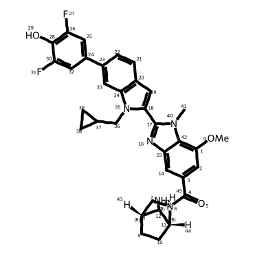 COc1cc(C(=O)N2C[C@H]3CC[C@@H]2[C@@H]3N)cc2nc(-c3cc4ccc(-c5cc(F)c(O)c(F)c5)cc4n3CC3CC3)n(C)c12